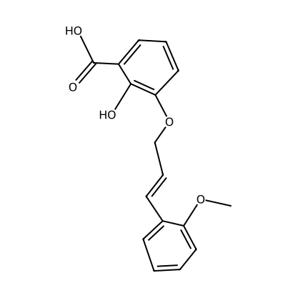 COc1ccccc1/C=C/COc1cccc(C(=O)O)c1O